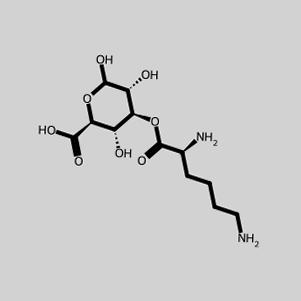 NCCCC[C@H](N)C(=O)O[C@H]1[C@H](O)[C@@H](C(=O)O)OC(O)[C@@H]1O